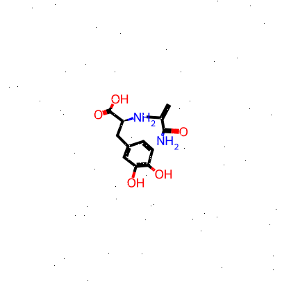 C=C(C)C(N)=O.N[C@@H](Cc1ccc(O)c(O)c1)C(=O)O